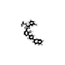 CC(=O)Nc1oc(-c2cccc(-c3ccc(-c4ccc5ccccc5c4)cc3)c2O)nc1C1=CC(=S)CC=C1